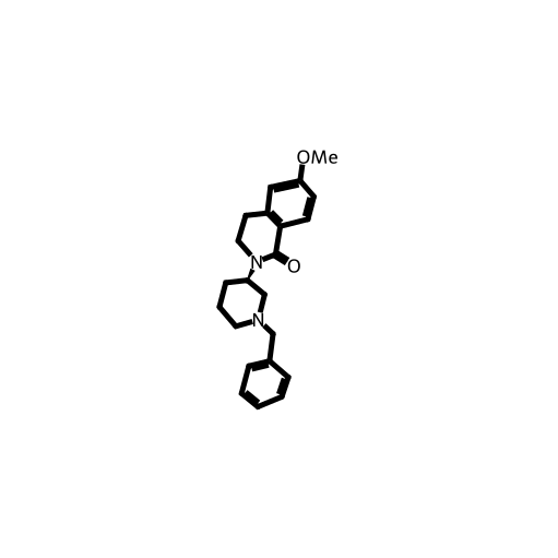 COc1ccc2c(c1)CCN([C@@H]1CCCN(Cc3ccccc3)C1)C2=O